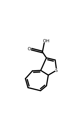 O=C(O)C1=CSC2C=CC=CC=C12